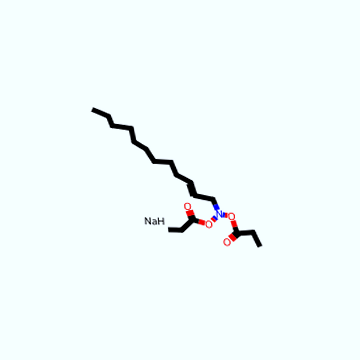 CCCCCCCCCC=CCN(OC(=O)CC)OC(=O)CC.[NaH]